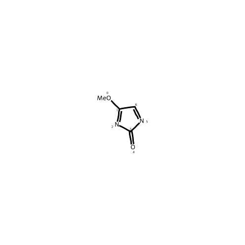 COC1=NC(=O)N=C1